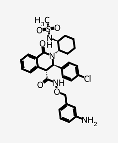 CS(=O)(=O)N[C@H]1CCCC[C@@H]1N1C(=O)c2ccccc2[C@@H](C(=O)NOCc2cccc(N)c2)[C@@H]1c1ccc(Cl)cc1